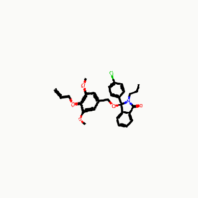 C=CCOc1c(OC)cc(COC2(c3ccc(Cl)cc3)c3ccccc3C(=O)N2CCC)cc1OC